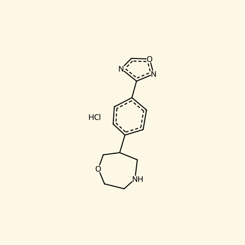 Cl.c1nc(-c2ccc(C3CNCCOC3)cc2)no1